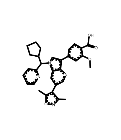 COc1cc(-c2cn(C(c3ccccn3)C3CCCC3)c3cc(-c4c(C)noc4C)cnc23)ccc1C(=O)O